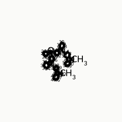 CN1C2=CC=C(n3c4ccccc4c4cc(P(=O)(c5ccccc5)c5ccc6c(c5)c5ccccc5n6-c5ccc6c(c5)c5ccccc5n6C)ccc43)CC2c2ccccc21